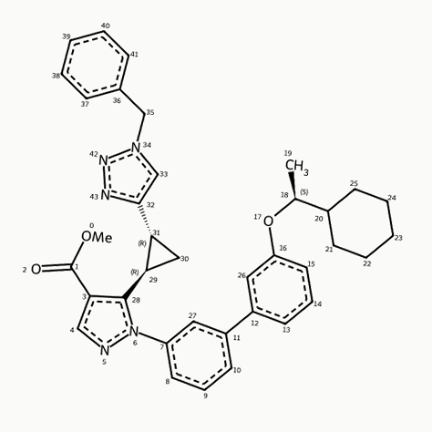 COC(=O)c1cnn(-c2cccc(-c3cccc(O[C@@H](C)C4CCCCC4)c3)c2)c1[C@@H]1C[C@H]1c1cn(Cc2ccccc2)nn1